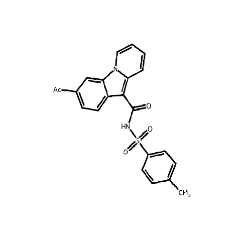 CC(=O)c1ccc2c(C(=O)NS(=O)(=O)c3ccc(C)cc3)c3ccccn3c2c1